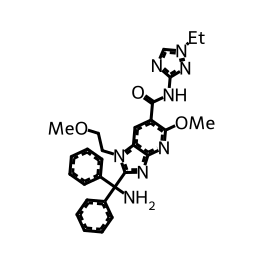 CCn1cnc(NC(=O)c2cc3c(nc2OC)nc(C(N)(c2ccccc2)c2ccccc2)n3CCOC)n1